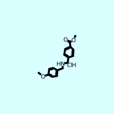 COC(=O)c1ccc(CNCc2ccc(OC)cc2)cc1.Cl